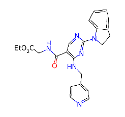 CCOC(=O)CNC(=O)c1cnc(N2CCc3ccccc32)nc1NCc1ccncc1